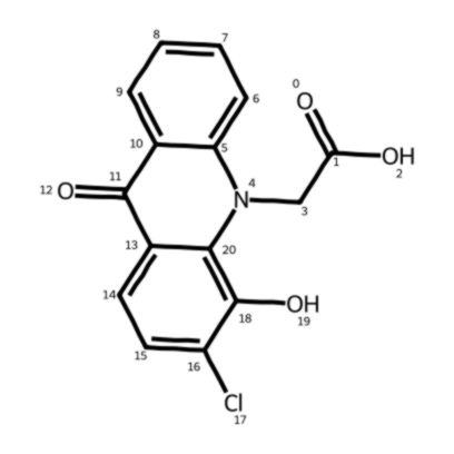 O=C(O)Cn1c2ccccc2c(=O)c2ccc(Cl)c(O)c21